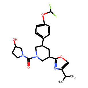 CC(C)c1coc(C2CC(c3ccc(OC(F)F)cc3)CN(C(=O)N3CCC(O)C3)C2)n1